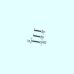 NC=O.[CH3][Zn].[CH3][Zn]